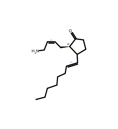 CCCCCC/C=C/C1CCC(=O)[C@@H]1C/C=C\CN